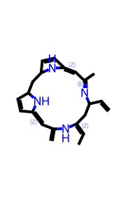 C=CC1C/C(=C/C)NC(=C)/C=C2/C=CC(CC3C=C/C(=C/C(C)=N/1)N3)N2